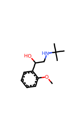 COc1ccccc1C(O)CNC(C)(C)C